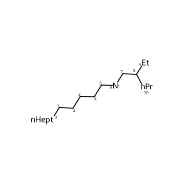 CCCCCCCCCCCC[N]CC(CC)CCC